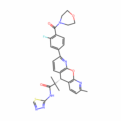 Cc1ccc2c(n1)Oc1nc(-c3ccc(C(=O)N4CCOCC4)c(F)c3)ccc1[C@H]2C(C)(C)C(=O)Nc1nncs1